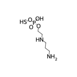 NCCCNCCOP(=O)(O)OS